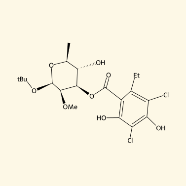 CCc1c(Cl)c(O)c(Cl)c(O)c1C(=O)O[C@@H]1[C@@H](O)[C@H](C)O[C@H](OC(C)(C)C)[C@@H]1OC